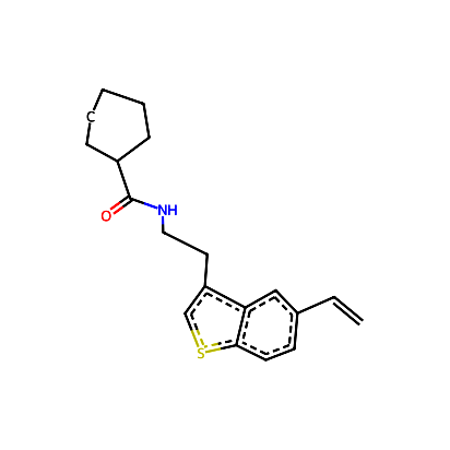 C=Cc1ccc2scc(CCNC(=O)C3CCCCC3)c2c1